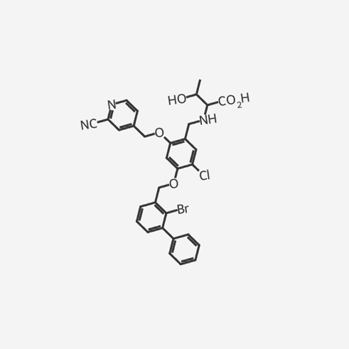 CC(O)C(NCc1cc(Cl)c(OCc2cccc(-c3ccccc3)c2Br)cc1OCc1ccnc(C#N)c1)C(=O)O